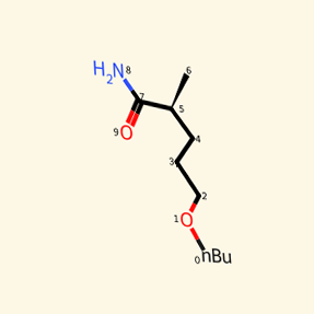 CCCCOC[CH]C[C@H](C)C(N)=O